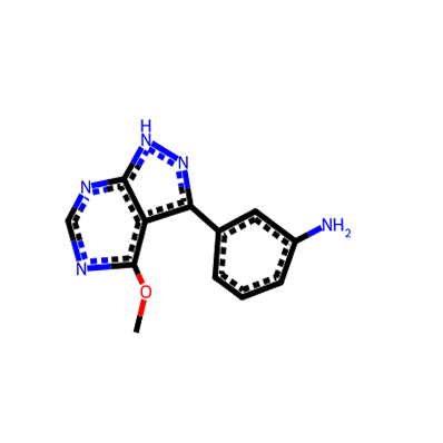 COc1ncnc2[nH]nc(-c3cccc(N)c3)c12